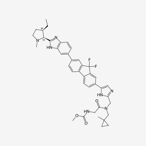 CC[C@@H]1CCN(C)[C@@H]1c1nc2ccc(-c3ccc4c(c3)C(F)(F)c3cc(-c5cnc(CN(CC6(C)CC6)C(=O)CNC(=O)OC)[nH]5)ccc3-4)cc2[nH]1